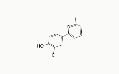 Cc1cccc(-c2ccc(O)c(Cl)c2)n1